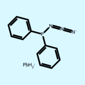 [N-]=[N+]=NP(c1ccccc1)c1ccccc1.[PbH2]